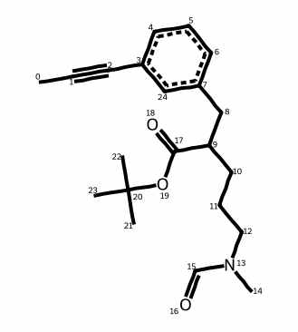 CC#Cc1cccc(CC(CCCN(C)C=O)C(=O)OC(C)(C)C)c1